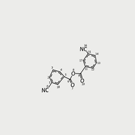 N#Cc1cccc(C(=O)OC(=O)c2cccc(C#N)c2)c1